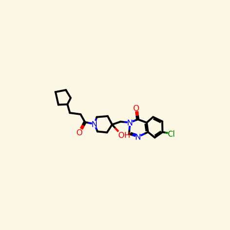 O=C(CCC1CCCC1)N1CCC(O)(Cn2cnc3cc(Cl)ccc3c2=O)CC1